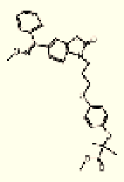 CON=C(c1ccccc1)c1ccc2c(c1)sc(=O)n2CCCOc1ccc(OC(C)(C)C(=O)OC)cc1